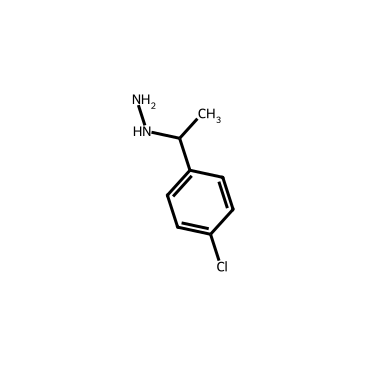 CC(NN)c1ccc(Cl)cc1